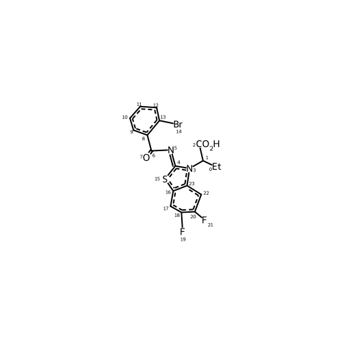 CCC(C(=O)O)n1c(=NC(=O)c2ccccc2Br)sc2cc(F)c(F)cc21